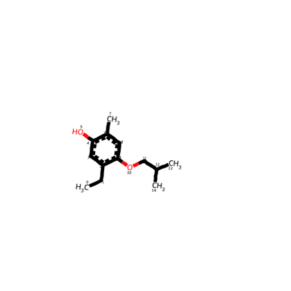 CCc1cc(O)c(C)cc1OCC(C)C